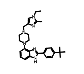 CCn1cc(CN2CCN(c3cccc4[nH]c(-c5ccc(C(C)(C)C)cc5)nc34)CC2)nc1C